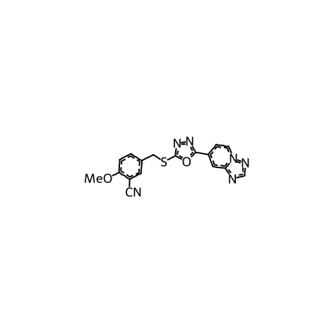 COc1ccc(CSc2nnc(-c3ccn4ncnc4c3)o2)cc1C#N